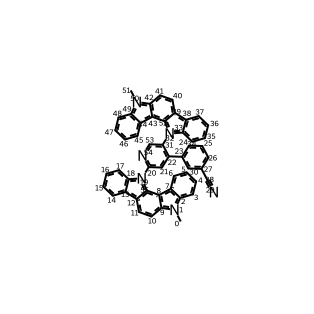 Cn1c2ccccc2c2c1ccc1c3ccccc3n(-c3cc(-c4cccc(C#N)c4)c(-n4c5ccccc5c5ccc6c(c7ccccc7n6C)c54)cn3)c12